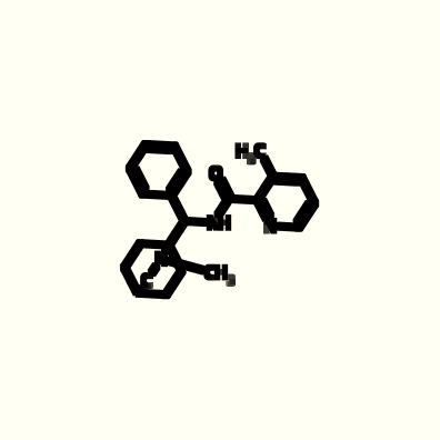 Cc1cccnc1C(=O)NC(c1ccccc1)C12CCC(CC1)CN2C